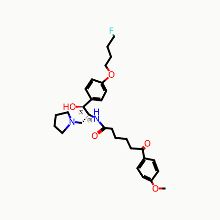 COc1ccc(C(=O)CCCCC(=O)N[C@H](CN2CCCC2)[C@@H](O)c2ccc(OCCCCF)cc2)cc1